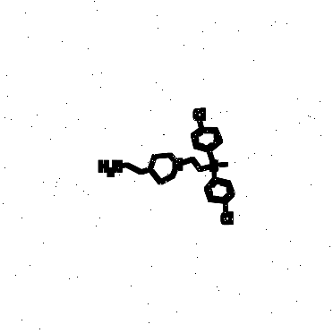 CS(CCN1CCC(CCN)CC1)(c1ccc(Cl)cc1)c1ccc(Cl)cc1